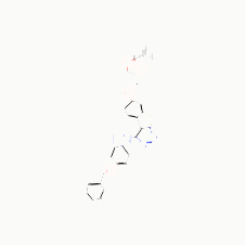 CC1(C)OC[C@H](COc2ccc3c(c2)sc2ncnc(Nc4ccc(OCc5cccc(F)c5)c(Cl)c4)c23)O1